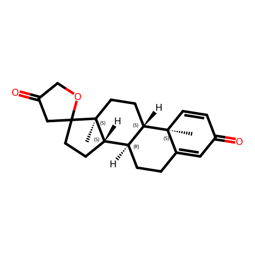 C[C@]12C=CC(=O)C=C1CC[C@@H]1[C@@H]2CC[C@@]2(C)[C@H]1CCC21CC(=O)CO1